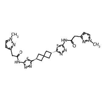 Cn1ccc(CC(=O)Nc2nnc([C@H]3CC4(C[C@H](c5nnc(NC(=O)Cc6ccn(C)n6)s5)C4)C3)s2)n1